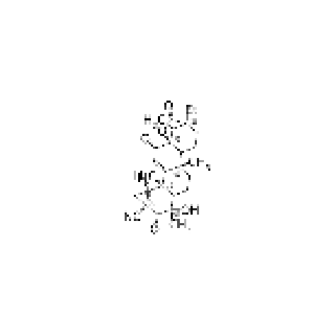 CC[C@@]12CCC3[C@](OC1=O)(C(=O)C=C1[C@@]3(C)CCC3[C@](C)(O)C(=O)[C@]4(C#N)C[C@@H]4[C@]13C)C2C